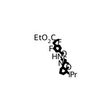 CCOC(=O)/C(C)=C/c1c(F)cc(C(=O)Nc2nc3c(s2)COc2c-3cccc2C(C)C)cc1F